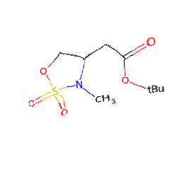 CN1C(CC(=O)OC(C)(C)C)COS1(=O)=O